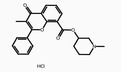 Cc1c(-c2ccccc2)oc2c(C(=O)OC3CCCN(C)C3)cccc2c1=O.Cl